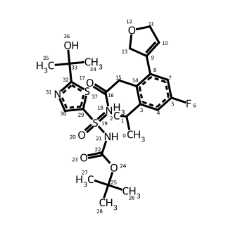 CC(C)c1cc(F)cc(C2=CCOC2)c1CC(=O)N=S(=O)(NC(=O)OC(C)(C)C)c1cnc(C(C)(C)O)s1